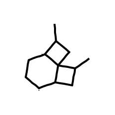 CC1CC23[C]1CC[CH]C2CC3C